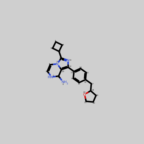 NC1NC=Cn2c(C3CCC3)nc(-c3ccc(CC4CCCO4)cc3)c21